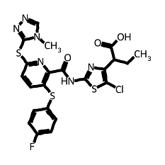 CCC(C(=O)O)c1nc(NC(=O)c2nc(Sc3nncn3C)ccc2Sc2ccc(F)cc2)sc1Cl